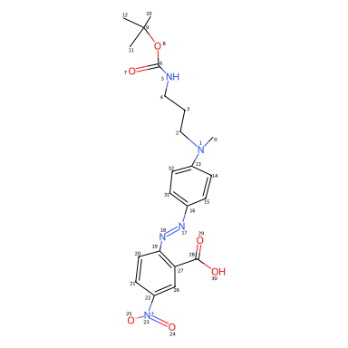 CN(CCCNC(=O)OC(C)(C)C)c1ccc(N=Nc2ccc([N+](=O)[O-])cc2C(=O)O)cc1